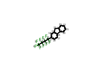 FC(F)(F)C(F)(F)C(F)(F)C(F)(F)c1[c]c2c(cc1)-c1ccccc1C2